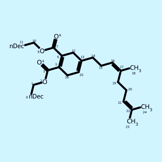 CCCCCCCCCCCOC(=O)C1=C(C(=O)OCCCCCCCCCCC)CC(CCC=C(C)CCC=C(C)C)=CC1